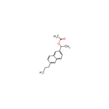 CCCc1ccc2cc(C(C)OC(C)=O)ccc2c1